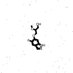 COC(CO)COc1cc2[nH]ncc2cc1F